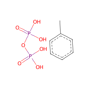 Cc1ccccc1.O=P(O)(O)OP(=O)(O)O